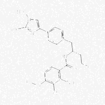 CCCCc1nc(-c2ccc(CC(CCO)NC(=O)c3ccc(OC(C)C)c(Cl)c3N)cc2)cn1C